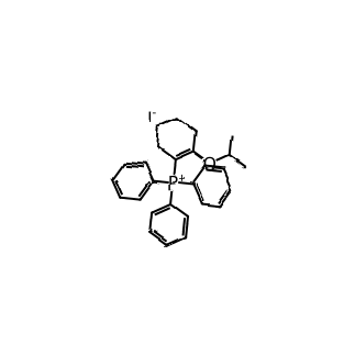 CC(C)OC1=C([P+](c2ccccc2)(c2ccccc2)c2ccccc2)CCCC1.[I-]